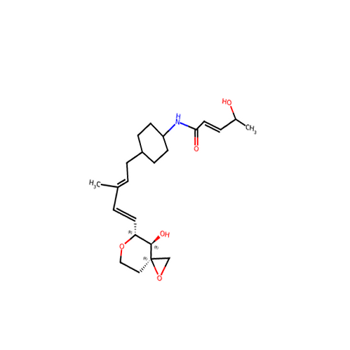 CC(C=C[C@H]1OCC[C@@]2(CO2)[C@@H]1O)=CCC1CCC(NC(=O)C=CC(C)O)CC1